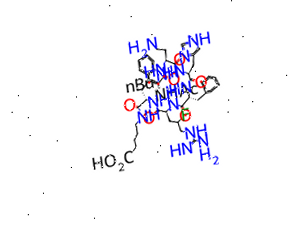 CCCC[C@H](NC(C)=O)C(=O)N[C@@H](CCN)C(=O)N[C@@H](Cc1c[nH]cn1)C(=O)N[C@H](Cc1ccccc1)C(=O)N[C@@H](CC(F)CNC(=N)N)C(=O)N[C@@H](Cc1c[nH]c2ccccc12)C(=O)NCCCCC(=O)O